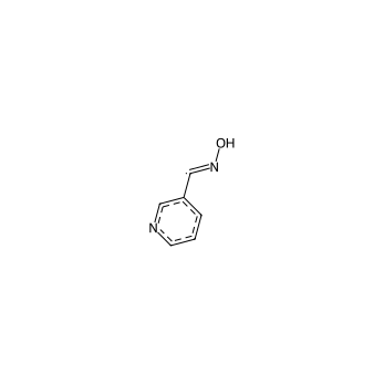 ON=[C]c1cccnc1